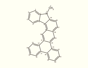 Cn1c2ccccc2c2c3cc4c5ccccc5c5ccccc5c4cc3ccc21